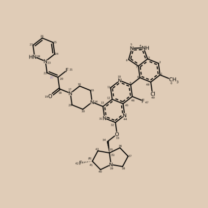 Cc1cc2[nH]ncc2c(-c2ncc3c(N4CCN(C(=O)/C(F)=C/N5C=CC=CN5)CC4)nc(OC[C@@]45CCCN4C[C@H](F)C5)nc3c2F)c1Cl